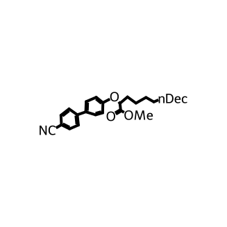 CCCCCCCCCCCCCCC(Oc1ccc(-c2ccc(C#N)cc2)cc1)C(=O)OC